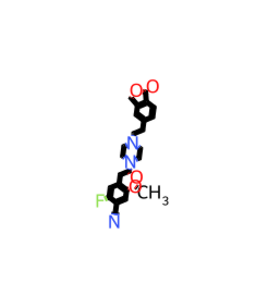 COc1cc(C#N)c(F)cc1CC(=O)N1CCN(CCc2ccc3c(c2)COC3=O)CC1